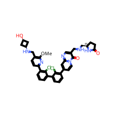 COc1nc(-c2cccc(-c3cccc(-c4ccn5c(=O)c(CNC[C@H]6CCC(=O)N6)cnc5c4)c3Cl)c2Cl)ccc1CN[C@H]1C[C@@H](O)C1